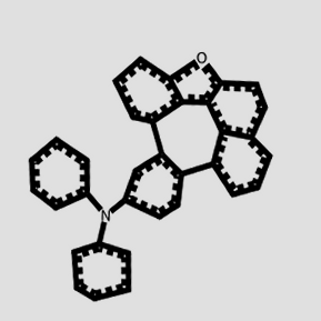 c1ccc(N(c2ccccc2)c2ccc3c(c2)-c2cccc4oc5ccc6cccc-3c6c5c24)cc1